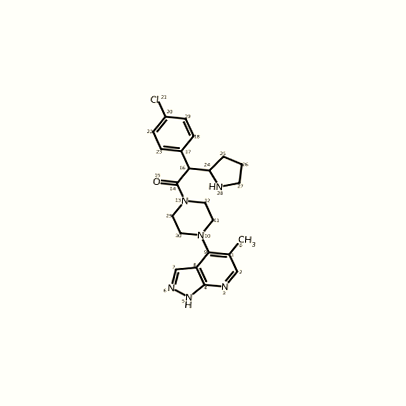 Cc1cnc2[nH]ncc2c1N1CCN(C(=O)C(c2ccc(Cl)cc2)C2CCCN2)CC1